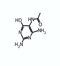 CC(=O)Nc1c(N)nc(N)nc1O